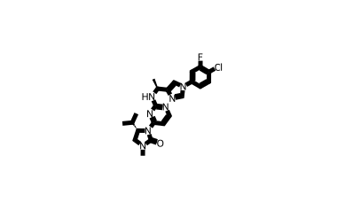 CC(C)[C@H]1CN(C)C(=O)N1c1ccnc(N[C@@H](C)c2cn(-c3ccc(Cl)c(F)c3)cn2)n1